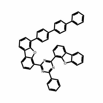 c1ccc(-c2ccc(-c3ccc(-c4cccc5c4oc4c(-c6nc(-c7ccccc7)nc(-c7cccc8c7oc7ccccc78)n6)cccc45)cc3)cc2)cc1